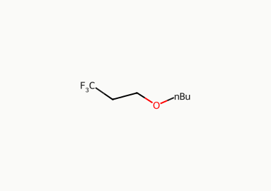 [CH2]CCCOCCC(F)(F)F